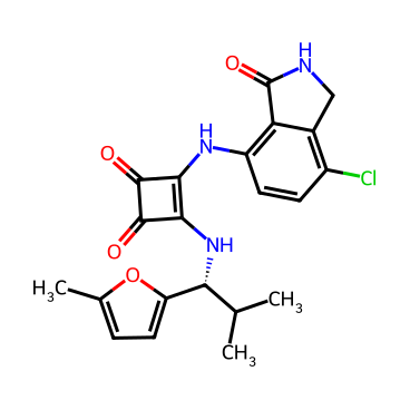 Cc1ccc([C@H](Nc2c(Nc3ccc(Cl)c4c3C(=O)NC4)c(=O)c2=O)C(C)C)o1